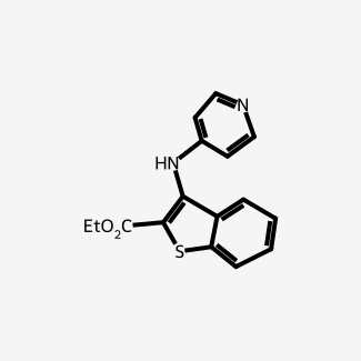 CCOC(=O)c1sc2ccccc2c1Nc1ccncc1